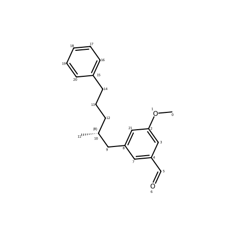 COc1cc(C=O)cc(C[C@H](C)CCCc2ccccc2)c1